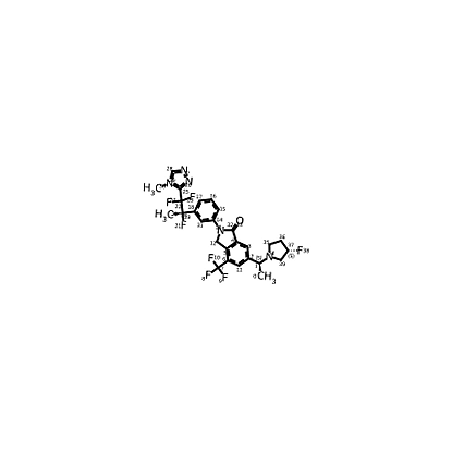 C[C@@H](c1cc2c(c(C(F)(F)F)c1)CN(c1cccc([C@](C)(F)C(F)(F)c3nncn3C)c1)C2=O)N1CC[C@H](F)C1